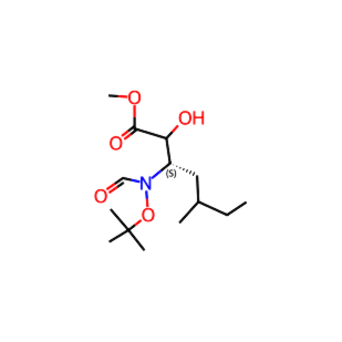 CCC(C)C[C@@H](C(O)C(=O)OC)N(C=O)OC(C)(C)C